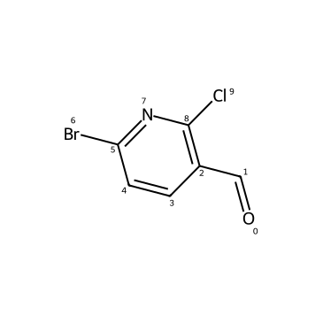 O=Cc1ccc(Br)nc1Cl